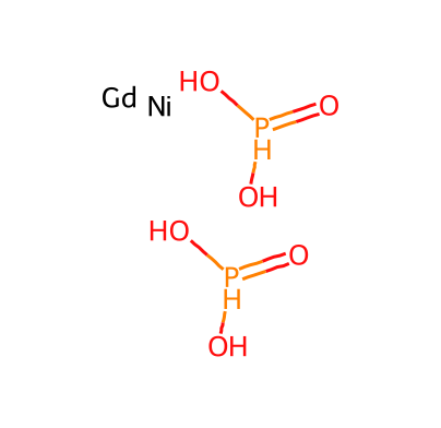 O=[PH](O)O.O=[PH](O)O.[Gd].[Ni]